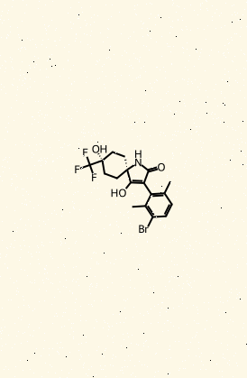 Cc1ccc(Br)c(C)c1C1=C(O)[C@]2(CC[C@](O)(C(F)(F)F)CC2)NC1=O